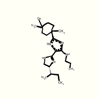 CCCNc1nc(C2(C)CCC(C)(O)CC2)[nH]c1C1=N[C@H](C(C)CC)CN1